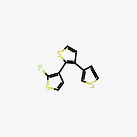 Fc1sccc1-c1sccc1-c1ccsc1